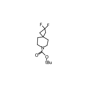 CC(C)(C)OC(=O)N1CCC2(CC1)CC(F)(F)C2